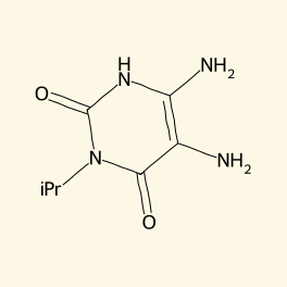 CC(C)n1c(=O)[nH]c(N)c(N)c1=O